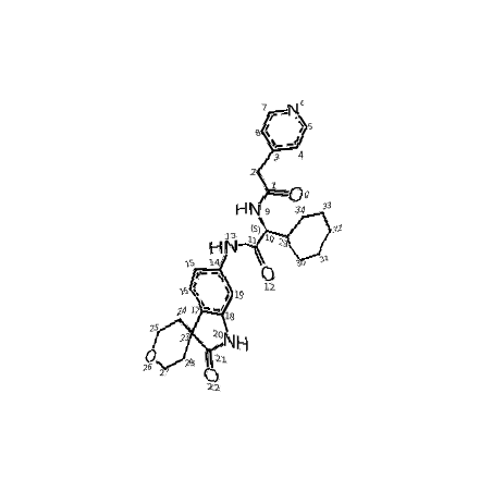 O=C(Cc1ccncc1)N[C@H](C(=O)Nc1ccc2c(c1)NC(=O)C21CCOCC1)C1CCCCC1